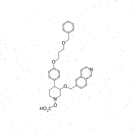 O=C(O)ON1CCC(c2ccc(OCCCOCc3ccccc3)cc2)C(OCc2ccc3cnccc3c2)C1